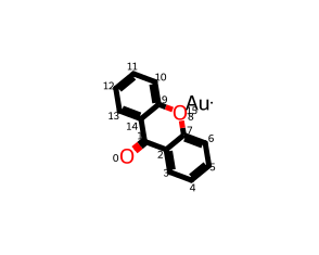 O=c1c2ccccc2oc2ccccc12.[Au]